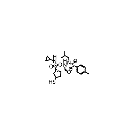 Cc1ccc(S(=O)(=O)N(CC(C)C)NC(=O)[C@@H]2C[C@@H](S)CN2S(=O)(=O)NC2CC2)cc1